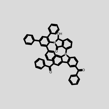 O=C(c1ccccc1)c1ccc2c(c1)c1cc(C(=O)c3ccccc3)ccc1n2-c1cccc2c1C(=O)N(c1c(-c3ccccc3)cc(-c3ccccc3)cc1-c1ccccc1)C2O